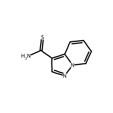 NC(=S)c1cnn2ccccc12